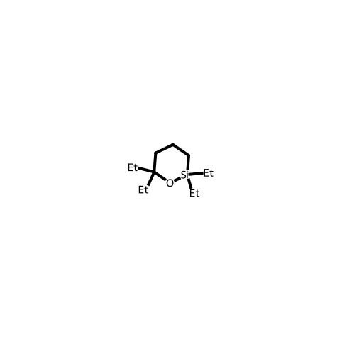 CCC1(CC)CCC[Si](CC)(CC)O1